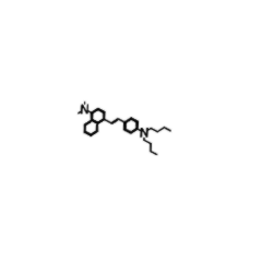 CCCCN(CCCC)c1ccc(/C=C/c2ccc(N(C)C)c3ccccc23)cc1